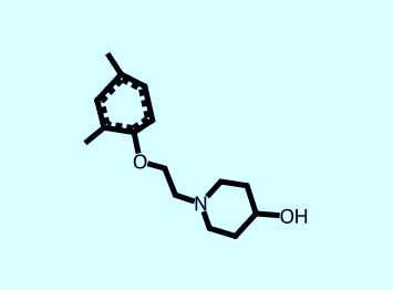 Cc1ccc(OCCN2CCC(O)CC2)c(C)c1